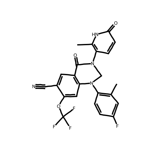 Cc1cc(F)ccc1N1CN(c2ccc(=O)[nH]c2C)C(=O)c2cc(C#N)c(OC(F)(F)F)cc21